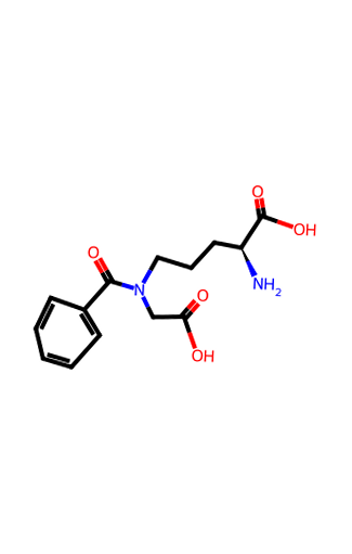 N[C@@H](CCCN(CC(=O)O)C(=O)c1ccccc1)C(=O)O